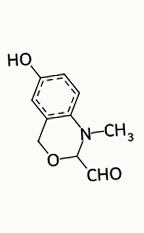 CN1c2ccc(O)cc2COC1C=O